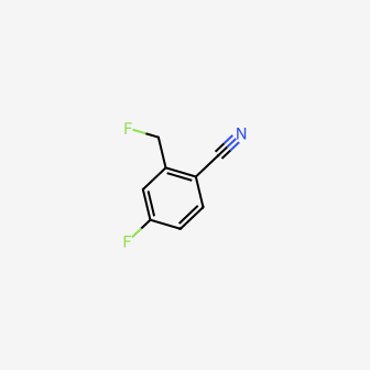 N#Cc1ccc(F)cc1CF